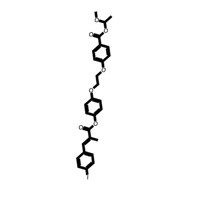 COC(C)OC(=O)c1ccc(OCCOc2ccc(OC(=O)/C(C)=C/c3ccc(I)cc3)cc2)cc1